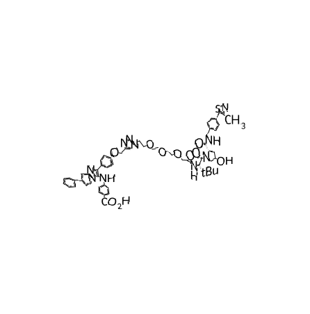 Cc1ncsc1-c1ccc(CNC(=O)[C@@H]2C[C@@H](O)CN2C(=O)[C@@H](NC(=O)COCCOCCOCCn2cc(COc3ccc(-c4nc5cc(-c6ccccc6)ccn5c4Nc4ccc(C(=O)O)cc4)cc3)nn2)C(C)(C)C)cc1